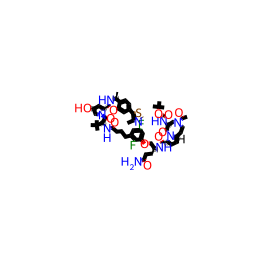 CC(=O)N1CC[C@H]2CC[C@@H](C(=O)N[C@@H](CCC(N)=O)COc3cc(F)cc(CCCC(=O)N[C@H](C(=O)N4C[C@H](O)C[C@H]4C(=O)N[C@@H](C)c4ccc(-c5scnc5C)cc4)C(C)(C)C)c3F)N2C(=O)[C@@H](NC(=O)OC(C)(C)C)C1